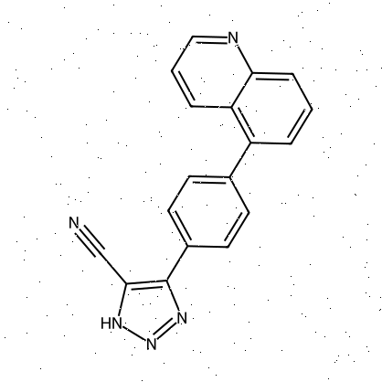 N#Cc1[nH]nnc1-c1ccc(-c2cccc3ncccc23)cc1